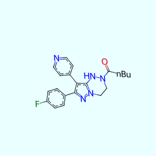 CCCCC(=O)N1CCn2nc(-c3ccc(F)cc3)c(-c3ccncc3)c2N1